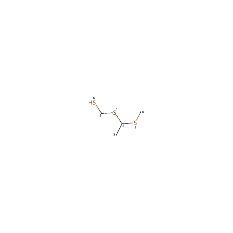 CSC(C)SCS